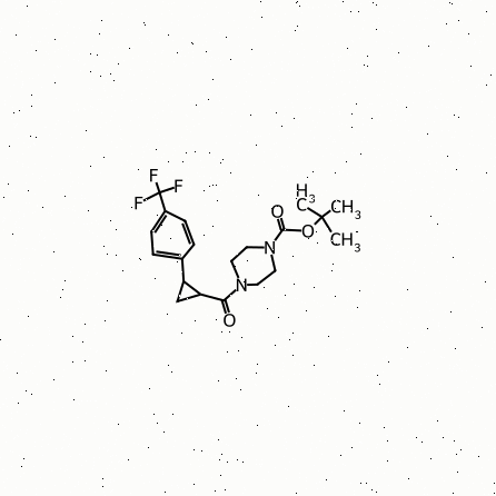 CC(C)(C)OC(=O)N1CCN(C(=O)C2CC2c2ccc(C(F)(F)F)cc2)CC1